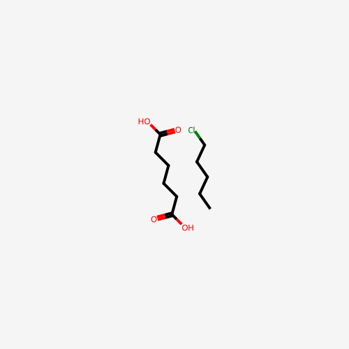 CCCCCCl.O=C(O)CCCCC(=O)O